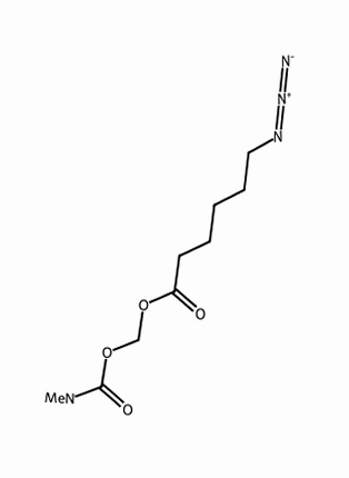 CNC(=O)OCOC(=O)CCCCCN=[N+]=[N-]